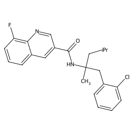 CC(C)CC(C)(Cc1ccccc1Cl)NC(=O)c1cnc2c(F)cccc2c1